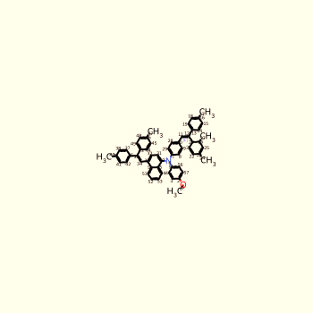 COc1ccc(N(c2ccc(/C=C(/c3ccc(C)cc3)C3C=CC(C)=CC3C)cc2)c2ccc(C=C(c3ccc(C)cc3)c3ccc(C)cc3)c3ccccc23)cc1